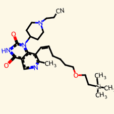 Cc1ncc2c(=O)[nH]c(=O)n(C3CCN(CCC#N)CC3)c2c1/C=C\CCCCOCC[Si](C)(C)C